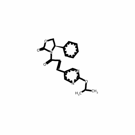 CC(C)Oc1ncc(C=CC(=O)N2C(=O)OC[C@H]2c2ccccc2)cn1